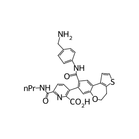 CCCNC(=O)c1ccc(-c2cc3c(cc2C(=O)Nc2ccc(CN)cc2)-c2ccsc2CCO3)c(C(=O)O)n1